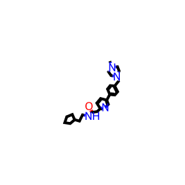 CN1CCN(Cc2ccc(-c3ccc(CC(=O)NCCC4CCCC4)nc3)cc2)CC1